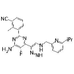 Cc1c(C#N)cccc1-c1nc(N)c(F)c(/C(=C/NCc2cccc(C(C)C)n2)N=N)n1